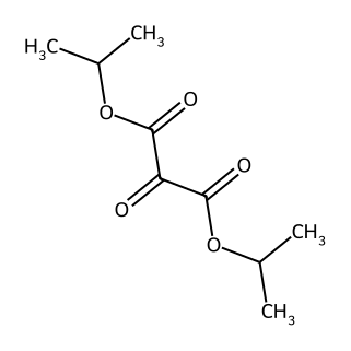 CC(C)OC(=O)C(=O)C(=O)OC(C)C